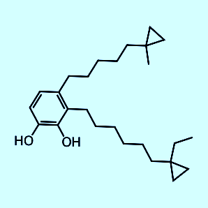 CCC1(CCCCCCc2c(CCCCCC3(C)CC3)ccc(O)c2O)CC1